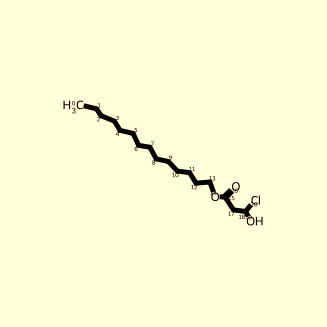 CCCCCCCCCCCCCCOC(=O)CC(O)Cl